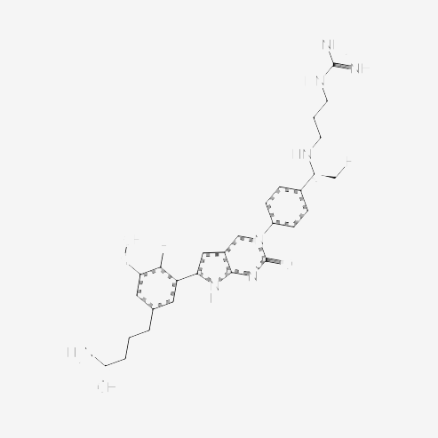 C[C@H](N)CCCc1cc(SC(F)(F)F)c(F)c(-c2cc3cn(-c4ccc([C@H](CF)NCCCNC(=N)N)cc4)c(=O)nc3[nH]2)c1